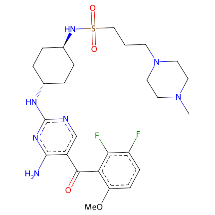 COc1ccc(F)c(F)c1C(=O)c1cnc(N[C@H]2CC[C@H](NS(=O)(=O)CCCN3CCN(C)CC3)CC2)nc1N